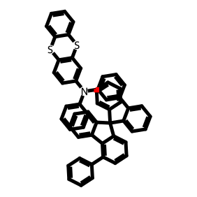 c1ccc(-c2cccc3c2-c2ccccc2C3(c2ccccc2)c2ccccc2-c2cccc(N(c3ccccc3)c3ccc4c(c3)Sc3ccccc3S4)c2)cc1